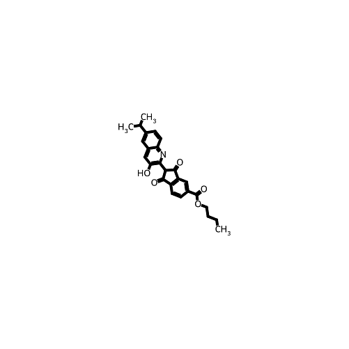 CCCCOC(=O)c1ccc2c(c1)C(=O)C(c1nc3ccc(C(C)C)cc3cc1O)C2=O